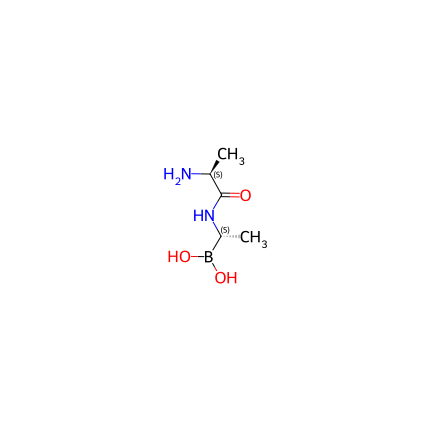 C[C@H](N)C(=O)N[C@H](C)B(O)O